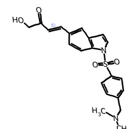 CN(C)Cc1ccc(S(=O)(=O)n2ccc3cc(/C=C/C(=O)CO)ccc32)cc1